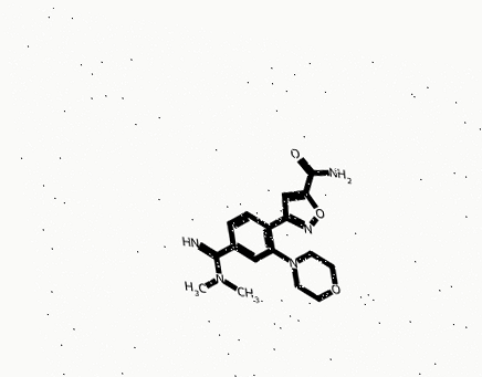 CN(C)C(=N)c1ccc(-c2cc(C(N)=O)on2)c(N2CCOCC2)c1